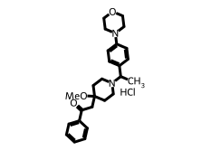 COC1(CC(=O)c2ccccc2)CCN(C(C)c2ccc(N3CCOCC3)cc2)CC1.Cl